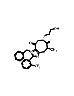 CC1Cc2nc(-c3ccccc3C(F)(F)F)n(Cc3ccccc3)c2C(=O)C[C@H](CCCO)C1=O